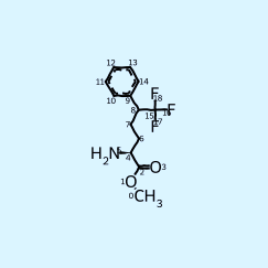 COC(=O)[C@@H](N)CCC(c1ccccc1)C(F)(F)F